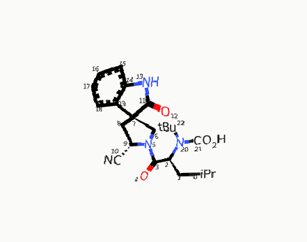 CC(C)C[C@@H](C(=O)N1C[C@]2(C[C@H]1C#N)C(=O)Nc1ccccc12)N(C(=O)O)C(C)(C)C